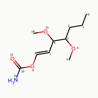 CCCC(OC)C(C=COC(N)=O)OC